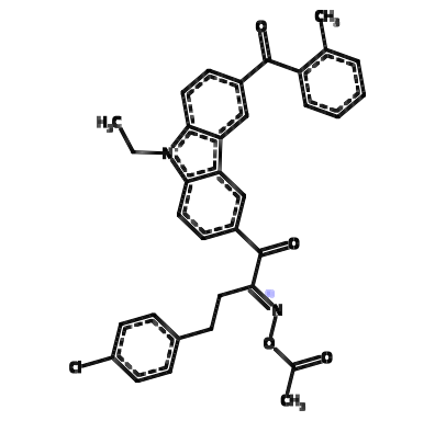 CCn1c2ccc(C(=O)/C(CCc3ccc(Cl)cc3)=N/OC(C)=O)cc2c2cc(C(=O)c3ccccc3C)ccc21